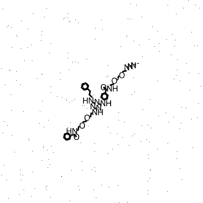 [N-]=[N+]=NCCOCCOCCNC(=O)c1ccc(Nc2nc(NCCCc3ccccc3)nc(NCCOCCOCCNC(=O)c3ccccc3)n2)cc1